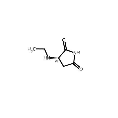 CCN[C@@H]1CC(=O)NC1=O